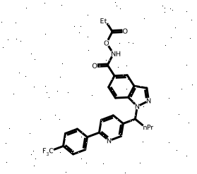 CCCC(c1ccc(-c2ccc(C(F)(F)F)cc2)nc1)n1ncc2cc(C(=O)NOC(=O)CC)ccc21